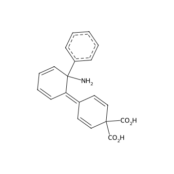 NC1(c2ccccc2)C=CC=CC1=C1C=CC(C(=O)O)(C(=O)O)C=C1